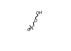 C[N+](C)([O-])CCOCCO